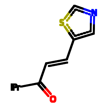 CC(C)C(=O)/C=C/c1cncs1